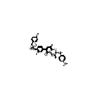 C=N/C(=N\c1c(C)cc(-c2ccc(NS(=O)(=O)Cc3ccc(F)cc3)c(F)c2)c(=O)n1C(C)C)N[C@H]1CC[C@H](N(C)C)CC1